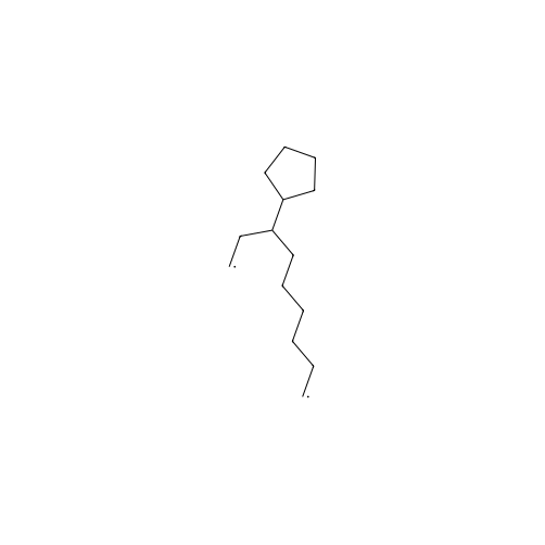 [CH2]CCCCCC(C[CH2])C1CCCC1